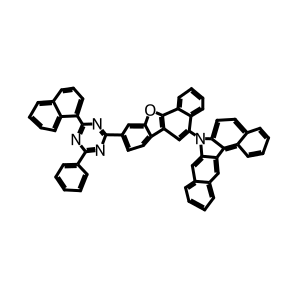 c1ccc(-c2nc(-c3ccc4c(c3)oc3c5ccccc5c(-n5c6cc7ccccc7cc6c6c7ccccc7ccc65)cc43)nc(-c3cccc4ccccc34)n2)cc1